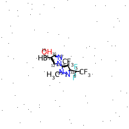 Cn1nc(C(F)(F)C(F)(F)F)c(C(F)(F)F)c1-n1cc(BO)cn1